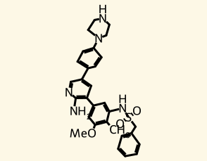 COc1cc(-c2cc(-c3ccc(N4CCNCC4)cc3)cnc2N)cc(NS(=O)(=O)Cc2ccccc2)c1C